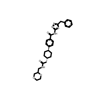 O=C(C[C@H]1CC[C@H](c2ccc(C(=O)Nc3nnc(Cc4ccccc4)s3)cc2)CC1)NCC1COCCO1